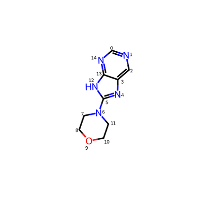 c1ncc2nc(N3CCOCC3)[nH]c2n1